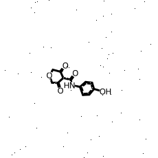 O=C1COCC(=O)C1C(=O)Nc1ccc(O)cc1